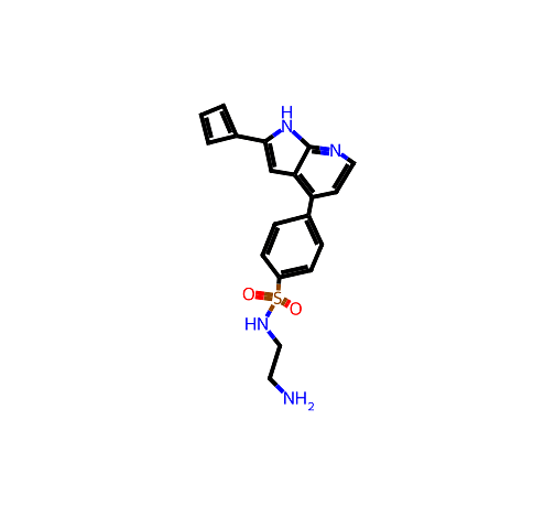 NCCNS(=O)(=O)c1ccc(-c2ccnc3[nH]c(C4=CC=C4)cc23)cc1